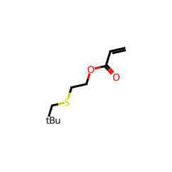 C=CC(=O)OCCSCC(C)(C)C